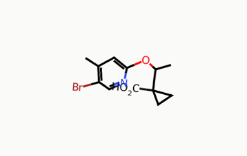 Cc1cc(OC(C)C2(C(=O)O)CC2)ncc1Br